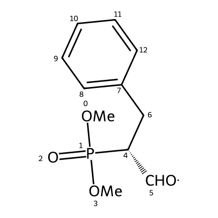 COP(=O)(OC)[C@@H]([C]=O)Cc1ccccc1